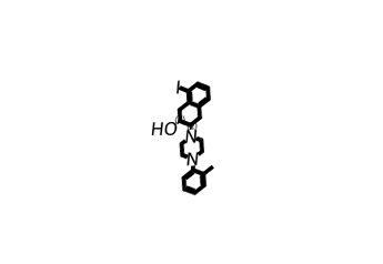 Cc1ccccc1N1CCN([C@@H]2Cc3cccc(I)c3C[C@H]2O)CC1